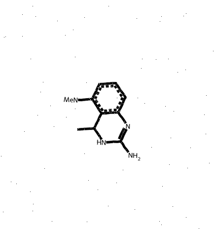 CNc1cccc2c1C(C)NC(N)=N2